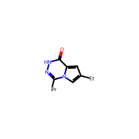 CCc1cc2c(=O)[nH]nc(C(C)C)n2c1